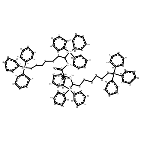 O=C(OC(CCCCCC[P+](c1ccccc1)(c1ccccc1)c1ccccc1)[P+](c1ccccc1)(c1ccccc1)c1ccccc1)C(=O)OC(CCCCCC[P+](c1ccccc1)(c1ccccc1)c1ccccc1)[P+](c1ccccc1)(c1ccccc1)c1ccccc1